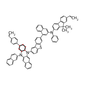 C=Cc1ccc(-c2ccc(N(c3ccc4sc5cc(-c6cc(N(c7ccccc7)c7ccc8c(c7)C(C)(C)c7cc(C=C)ccc7-8)cc7ccccc67)ccc5c4c3)c3cc4ccccc4cc3N(c3ccccc3)c3ccc4ccccc4c3)cc2)cc1